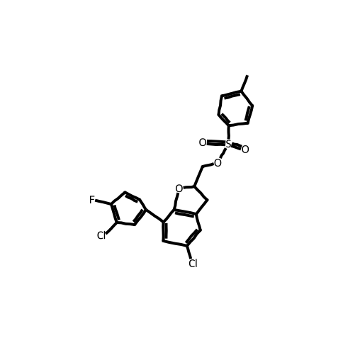 Cc1ccc(S(=O)(=O)OCC2Cc3cc(Cl)cc(-c4ccc(F)c(Cl)c4)c3O2)cc1